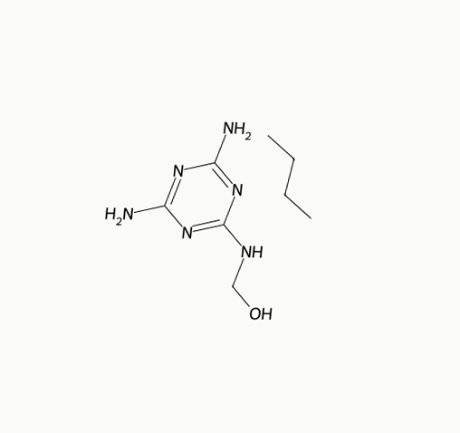 CCCC.Nc1nc(N)nc(NCO)n1